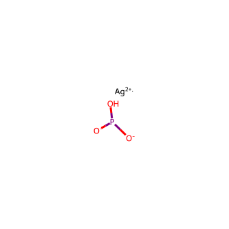 [Ag+2].[O-]P([O-])O